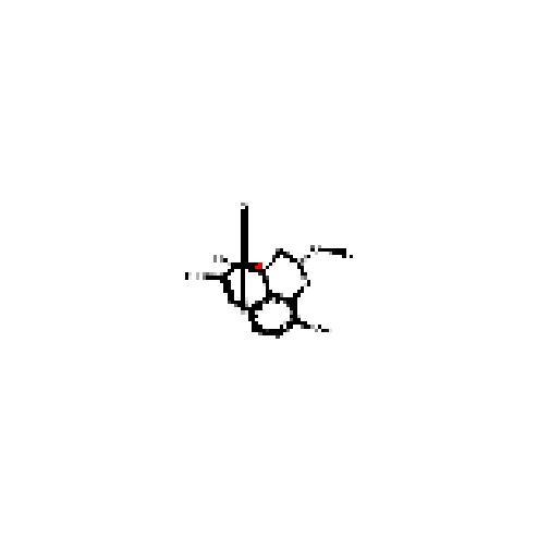 CCO[C@H]1C[C@]23C=CC(=O)C[C@H]2C([N+](=O)[O-])=Cc2ccc(OC)c(c23)O1